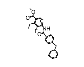 CCc1c(C(=O)OC)ccc(NC(=O)c2ccc(Cc3ccccc3)cc2)c1F